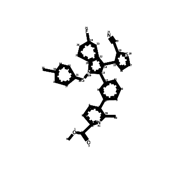 COC(=O)c1ccc(-c2cccc(-c3c(-c4ccsc4C#N)c4cc(F)ccc4n3Sc3ccc(C)cc3)c2)c(C)n1